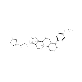 COc1ccc(C2C(O)CC[C@@]3(C)C2CC[C@@H]2[C@H]3CC[C@]3(C)C(OCCN4CCCC4)CC[C@@]23O)cc1